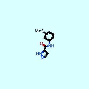 CSc1cccc(NC(=O)c2ccn[nH]2)c1